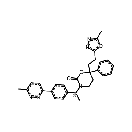 Cc1ccc(-c2ccc([C@H](C)N3CCC(CCc4nnc(C)o4)(c4ccccc4)OC3=O)cc2)nn1